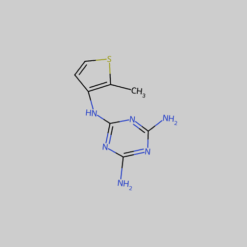 Cc1sccc1Nc1nc(N)nc(N)n1